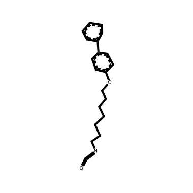 O=C=NCCCCCCCOc1ccc(-c2ccccc2)cc1